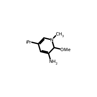 COC1C(N)=CC(C(C)C)=CN1C